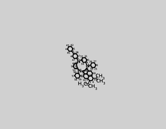 CC(C)c1cc(C(C)C)c2ccc3c4cc(c5ccc1c2c53)N(c1ccccc1)c1cccc(c1)N(c1ccc(-c2ccccc2)cc1)c1cccc(c1)N4c1ccccc1